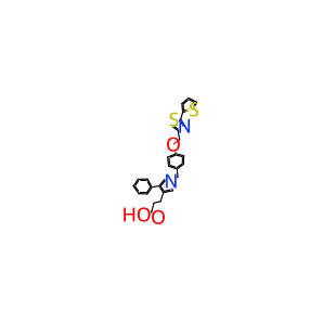 O=C(O)CCc1cn(Cc2ccc(OCc3csc(-c4cccs4)n3)cc2)cc1-c1ccccc1